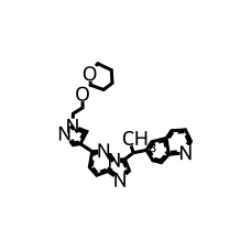 CC(c1ccc2ncccc2c1)c1cnc2ccc(-c3cnn(CCOC4CCCCO4)c3)nn12